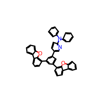 c1ccc(N(c2ccccc2)c2ccc(-c3cc(-c4cccc5c4oc4ccccc45)cc(-c4cccc5c4oc4ccccc45)c3)cn2)cc1